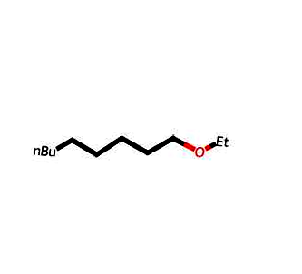 [CH2]CCCCCCC[CH]OCC